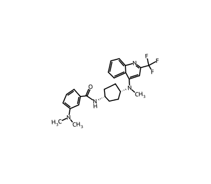 CN(C)c1cccc(C(=O)N[C@H]2CC[C@@H](N(C)c3cc(C(F)(F)F)nc4ccccc34)CC2)c1